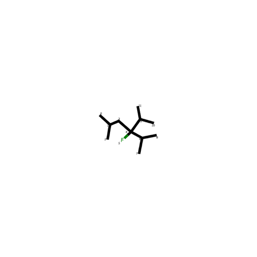 CC(C)[CH]C(F)(C(C)C)C(C)C